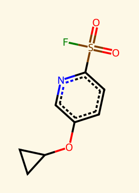 O=S(=O)(F)c1ccc(OC2CC2)cn1